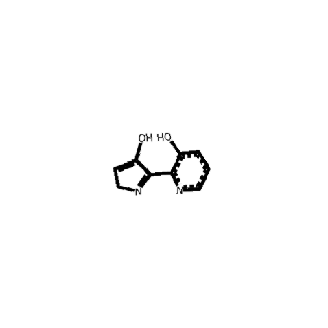 OC1=CCN=C1c1ncccc1O